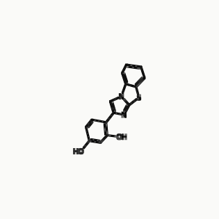 Oc1ccc(-c2cn3c(n2)sc2ccccc23)c(O)c1